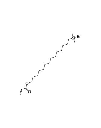 C=CC(=O)OCCCCCCCCCCCCCC[Si](C)(C)Br